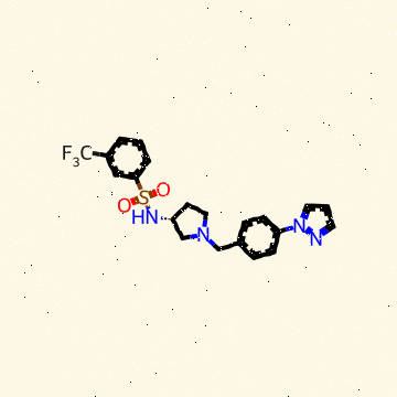 O=S(=O)(N[C@@H]1CCN(Cc2ccc(-n3cccn3)cc2)C1)c1cccc(C(F)(F)F)c1